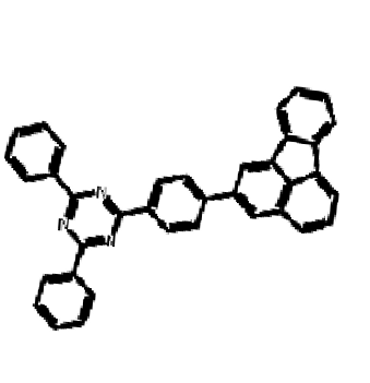 c1ccc(-c2nc(-c3ccccc3)nc(-c3ccc(-c4cc5c6c(cccc6c4)-c4ccccc4-5)cc3)n2)cc1